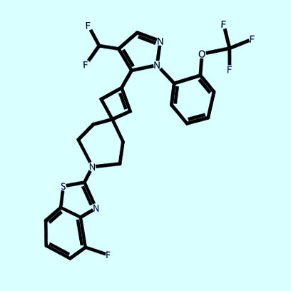 Fc1cccc2sc(N3CCC4(C=C(c5c(C(F)F)cnn5-c5ccccc5OC(F)(F)F)C4)CC3)nc12